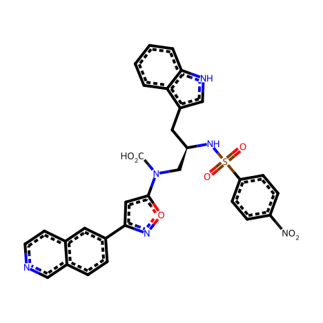 O=C(O)N(C[C@@H](Cc1c[nH]c2ccccc12)NS(=O)(=O)c1ccc([N+](=O)[O-])cc1)c1cc(-c2ccc3cnccc3c2)no1